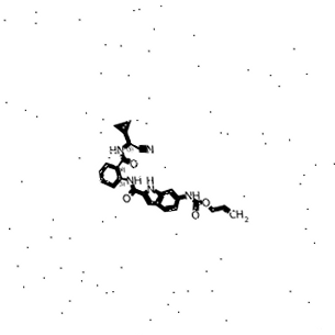 C=CCOC(=O)Nc1ccc2cc(C(=O)N[C@H]3CCCC[C@H]3C(=O)N[C@H](C#N)C3CC3)[nH]c2c1